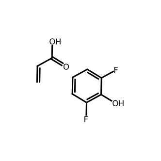 C=CC(=O)O.Oc1c(F)cccc1F